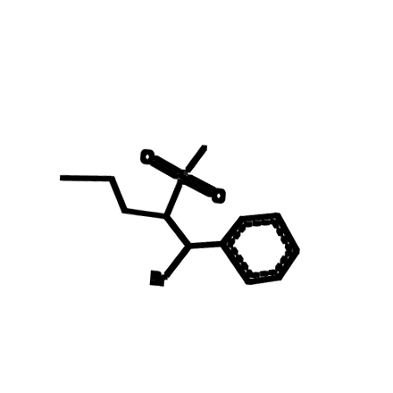 CCCC(C(Br)c1ccccc1)S(C)(=O)=O